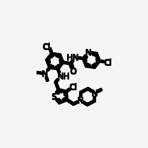 CN1CCN(Cc2csc(CNc3c(C(=O)Nc4ccc(Cl)cn4)cc(Cl)cc3N(C)C)c2Cl)CC1